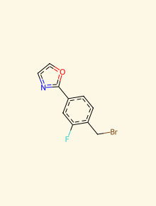 Fc1cc(-c2ncco2)ccc1CBr